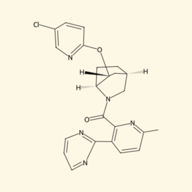 Cc1ccc(-c2ncccn2)c(C(=O)N2C[C@@H]3CC[C@H]2[C@H](Oc2ccc(Cl)cn2)C3)n1